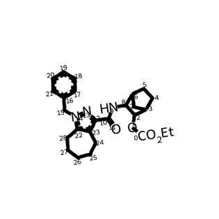 CCOC(=O)OC1C2CCC(C2)C1NC(=O)c1nn(Cc2ccccc2)c2c1CCCCC2